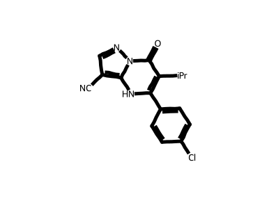 CC(C)c1c(-c2ccc(Cl)cc2)[nH]c2c(C#N)cnn2c1=O